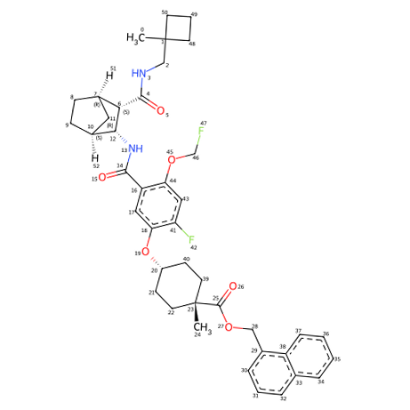 CC1(CNC(=O)[C@H]2[C@@H]3CC[C@@H](C3)[C@H]2NC(=O)c2cc(O[C@H]3CC[C@@](C)(C(=O)OCc4cccc5ccccc45)CC3)c(F)cc2OCF)CCC1